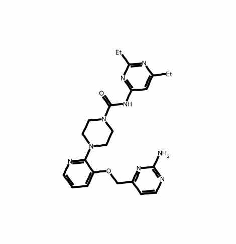 CCc1cc(NC(=O)N2CCN(c3ncccc3OCc3ccnc(N)n3)CC2)nc(CC)n1